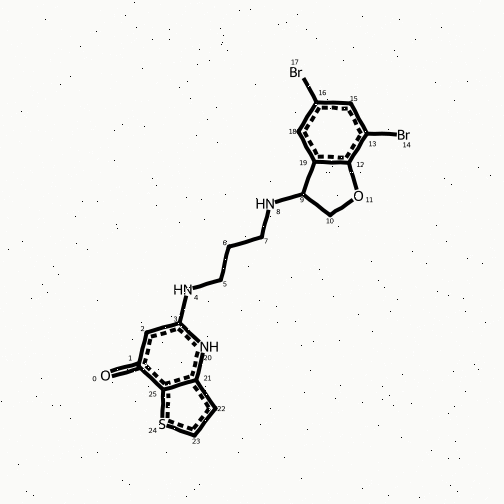 O=c1cc(NCCCNC2COc3c(Br)cc(Br)cc32)[nH]c2ccsc12